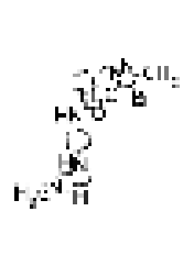 Cc1nn(Cc2cccc(C(=O)Nc3ccc(N4CC[C@H]5CN(C)C[C@H]54)cc3)c2)c(C)c1Br